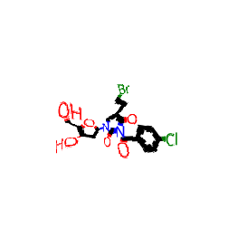 O=C(c1ccc(Cl)cc1)n1c(=O)c(/C=C/Br)cn([C@H]2C[C@H](O)[C@@H](CO)O2)c1=O